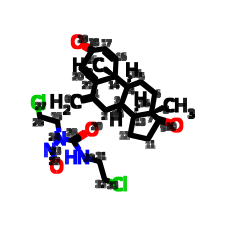 C=C1C[C@@H]2[C@H](CC[C@]3(C)C(=O)CC[C@@H]23)[C@@]2(C)C=CC(=O)C=C12.O=NN(CCCl)C(=O)NCCCl